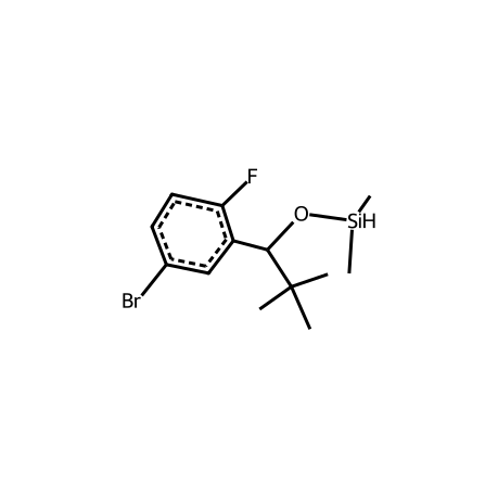 C[SiH](C)OC(c1cc(Br)ccc1F)C(C)(C)C